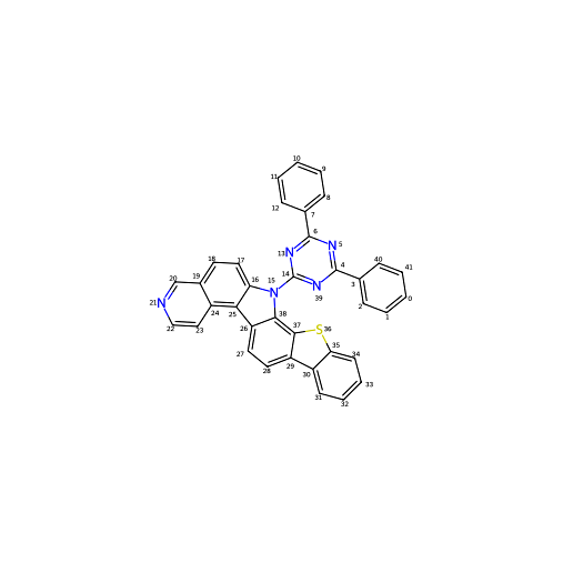 c1ccc(-c2nc(-c3ccccc3)nc(-n3c4ccc5cnccc5c4c4ccc5c6ccccc6sc5c43)n2)cc1